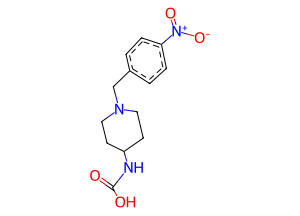 O=C(O)NC1CCN(Cc2ccc([N+](=O)[O-])cc2)CC1